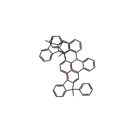 CC1(C)c2ccccc2-c2c(-c3ccccc3N(c3ccccc3-c3ccc4c(c3)C(C)(c3ccccc3)c3ccccc3-4)c3cccc4c3C(C)(C)c3ccccc3-4)cccc21